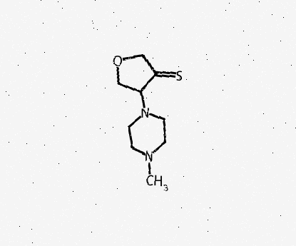 CN1CCN(C2COCC2=S)CC1